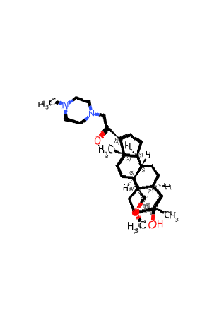 COC[C@]12CC[C@@](C)(O)C[C@@H]1CC[C@H]1[C@@H]3CC[C@H](C(=O)CN4CCN(C)CC4)[C@@]3(C)CC[C@@H]12